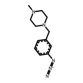 CN1CCN(Cc2cccc(N=[N+]=[N-])c2)CC1